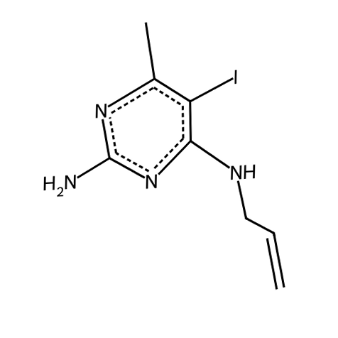 C=CCNc1nc(N)nc(C)c1I